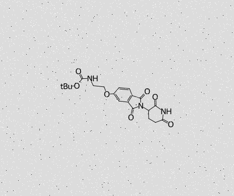 CC(C)(C)OC(=O)NCCOc1ccc2c(c1)C(=O)N(C1CCC(=O)NC1=O)C2=O